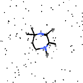 CCC1=NC(C)(C)CCN(CC)C1C